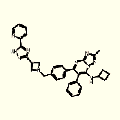 Cc1nc2nc(-c3ccc(CN4CC(c5n[nH]c(-c6ccccn6)n5)C4)cc3)c(-c3ccccc3)c(NC3CCC3)n2n1